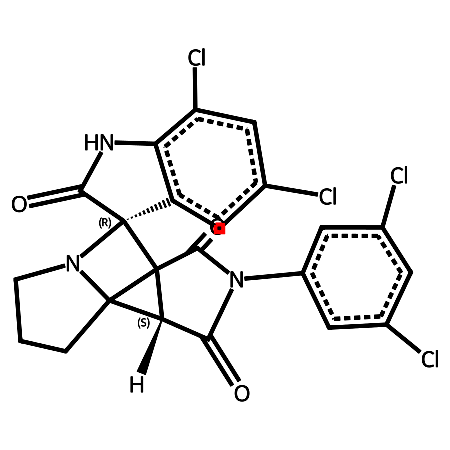 O=C1[C@@H]2C34CCCN3[C@@]3(C(=O)Nc5c(Cl)cc(Cl)cc53)C24C(=O)N1c1cc(Cl)cc(Cl)c1